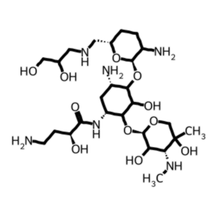 CN[C@@H]1C(O)[C@@H](OC2C(O)C(O[C@H]3O[C@H](CNCC(O)CO)CCC3N)[C@@H](N)C[C@H]2NC(=O)[C@@H](O)CCN)OCC1(C)O